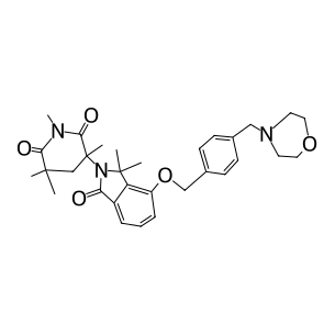 CN1C(=O)C(C)(C)CC(C)(N2C(=O)c3cccc(OCc4ccc(CN5CCOCC5)cc4)c3C2(C)C)C1=O